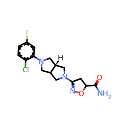 NC(=O)C1CC(N2CC3CN(c4cc(F)ccc4Cl)C[C@@H]3C2)=NO1